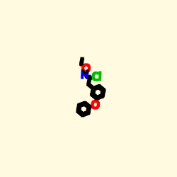 CCON=C(Cl)Cc1cccc(Oc2ccccc2)c1